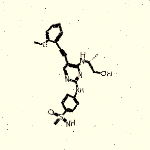 COc1ccccc1C#Cc1cnc(Nc2ccc(S(C)(=N)=O)cc2)nc1N[C@H](C)CO